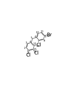 Clc1c[c]c(Cc2ccc(Br)cc2)c(Cl)c1Cl